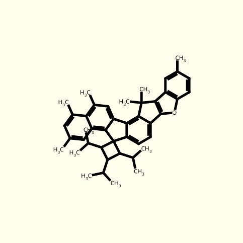 Cc1ccc2oc3c(c2c1)C(C)(C)c1c-3ccc2c1-c1cc(C)c3c(C)cc(C)cc3c1C21C(C(C)C)C(C(C)C)C1C(C)C